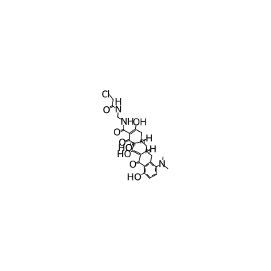 CN(C)c1ccc(O)c2c1C[C@H]1C[C@H]3CC(O)=C(C(=O)NCNC(=O)CCl)C(=O)[C@@]3(O)C(O)=C1C2=O